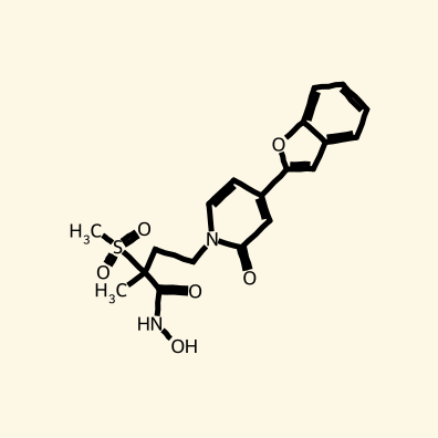 CC(CCn1ccc(-c2cc3ccccc3o2)cc1=O)(C(=O)NO)S(C)(=O)=O